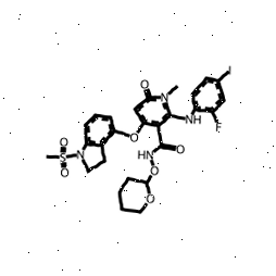 Cn1c(Nc2ccc(I)cc2F)c(C(=O)NOC2CCCCO2)c(Oc2cccc3c2CCN3S(C)(=O)=O)cc1=O